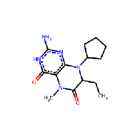 CCC1C(=O)N(C)c2c(nc(N)[nH]c2=O)N1C1CCCC1